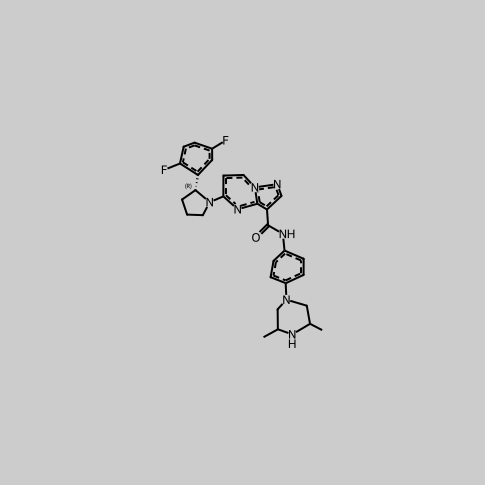 CC1CN(c2ccc(NC(=O)c3cnn4ccc(N5CCC[C@@H]5c5cc(F)ccc5F)nc34)cc2)CC(C)N1